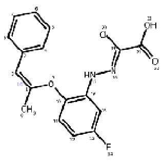 C/C(=C/c1ccccc1)Oc1ccc(F)cc1NN=C(Cl)C(=O)O